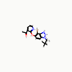 CC(=O)c1cccnc1Oc1ccc2c(nnn2[C@H](C)C(C)(C)C)c1Br